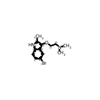 Cc1[nH]c2ccc(Br)cc2c1OCCN(C)C